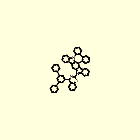 c1ccc(-c2cc(-c3ccccc3)cc(-c3nc(-n4c5ccccc5c5c6c7c(cc54)c4ccccc4n7-c4ccccc4-c4ccccc4-6)nc4ccccc34)c2)cc1